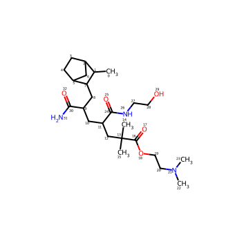 CC1C2CCC(C2)C1CC(CC(CC(C)(C)C(=O)OCCN(C)C)C(=O)NCCO)C(N)=O